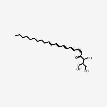 CCCCCCCCCC=CC=CC=C/C=C/C=C\C(=O)C(O)C(CO)OO